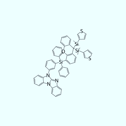 C[Si](C)(c1ccsc1)C1([Si](C)(C)c2ccsc2)c2ccccc2Oc2c1cccc2[Si](c1ccccc1)(c1ccccc1)c1cccc(-n2c3ccccc3n3c4ccccc4nc23)c1